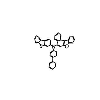 c1ccc(-c2ccc(N(c3ccc4c(c3)sc3ccccc34)c3cc4oc5ccccc5c4c4ccccc34)cc2)cc1